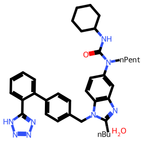 CCCCCN(C(=O)NC1CCCCC1)c1ccc2c(c1)nc(CCCC)n2Cc1ccc(-c2ccccc2-c2nnn[nH]2)cc1.O